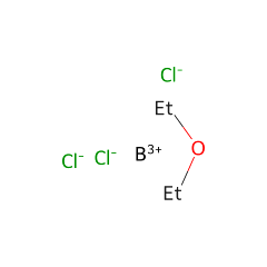 CCOCC.[B+3].[Cl-].[Cl-].[Cl-]